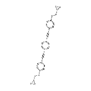 C(#Cc1ccc(OCC2CO2)cc1)c1ccc(C#Cc2ccc(OCC3CO3)cc2)cc1